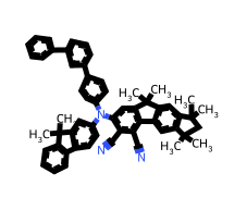 CC1(C)CC(C)(C)c2cc3c(cc21)-c1c(cc(N(c2ccc(-c4cccc(-c5ccccc5)c4)cc2)c2ccc4c(c2)C(C)(C)c2ccccc2-4)c(C#N)c1C#N)C3(C)C